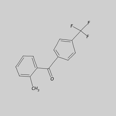 Cc1ccccc1C(=O)c1ccc(C(F)(F)F)cc1